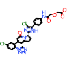 O=C(O)COCC(=O)Nc1ccc(-c2[nH]c([C@@H]3CCc4cc(-c5cc(Cl)ccc5-n5cnnn5)cc(=O)n43)nc2Cl)cc1